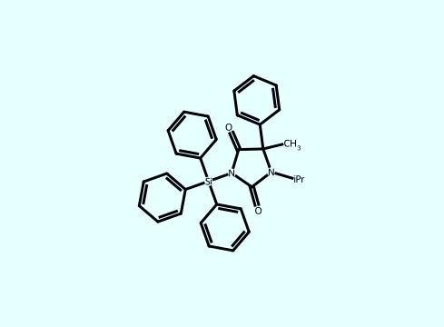 CC(C)N1C(=O)N([Si](c2ccccc2)(c2ccccc2)c2ccccc2)C(=O)C1(C)c1ccccc1